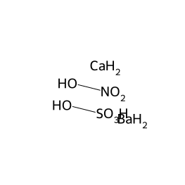 O=S(=O)(O)O.O=[N+]([O-])O.[BaH2].[CaH2]